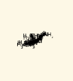 CC(C)(C)[Si](C)(C)OC1CO[C@H]2[C@@H]1OC[C@H]2Oc1nc2cc(Cl)c(NC3CCc4cc(OCC(N)=O)cc(F)c43)nc2n1COCC[Si](C)(C)C